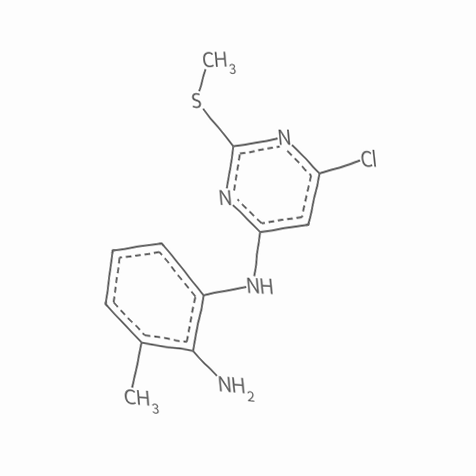 CSc1nc(Cl)cc(Nc2cccc(C)c2N)n1